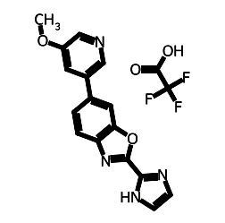 COc1cncc(-c2ccc3nc(-c4ncc[nH]4)oc3c2)c1.O=C(O)C(F)(F)F